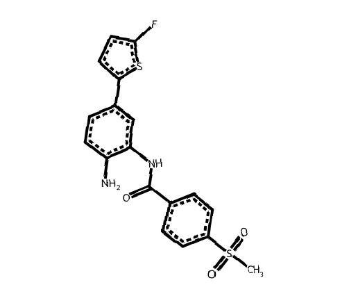 CS(=O)(=O)c1ccc(C(=O)Nc2cc(-c3ccc(F)s3)ccc2N)cc1